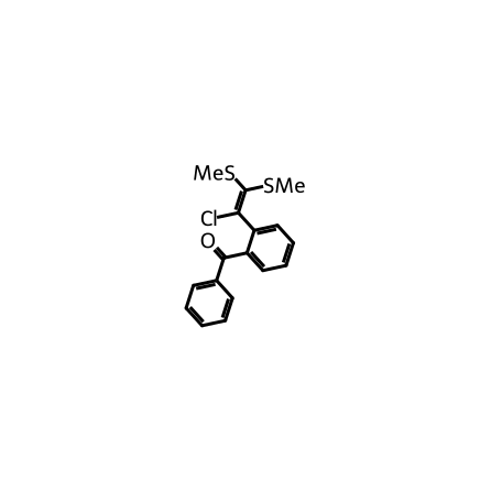 CSC(SC)=C(Cl)c1ccccc1C(=O)c1ccccc1